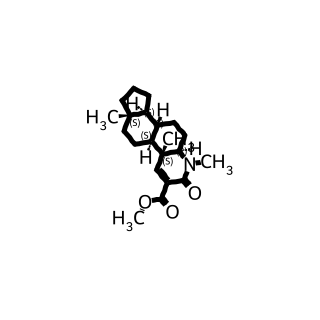 COC(=O)C1=C[C@]2(C)[C@H]3CC[C@]4(C)CCC[C@H]4[C@@H]3CC[C@H]2N(C)C1=O